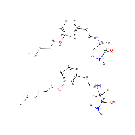 CCCCCCOc1cccc(CCNC(C)(C)C(=O)N(C)C)c1.CCCCCOc1cccc(CCNC(C)(C)C(=O)N(C)C)c1